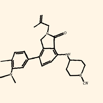 C=C(C)CN1Cc2c(-c3ccc(CC)c(N(C)C)c3)ccc(NC3CCB(C#N)CC3)c2C1=O